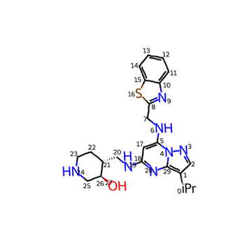 CC(C)c1cnn2c(NCc3nc4ccccc4s3)cc(NC[C@H]3CCNC[C@@H]3O)nc12